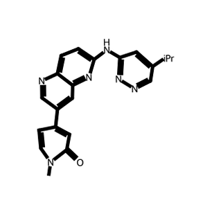 CC(C)c1cnnc(Nc2ccc3ncc(-c4ccn(C)c(=O)c4)cc3n2)c1